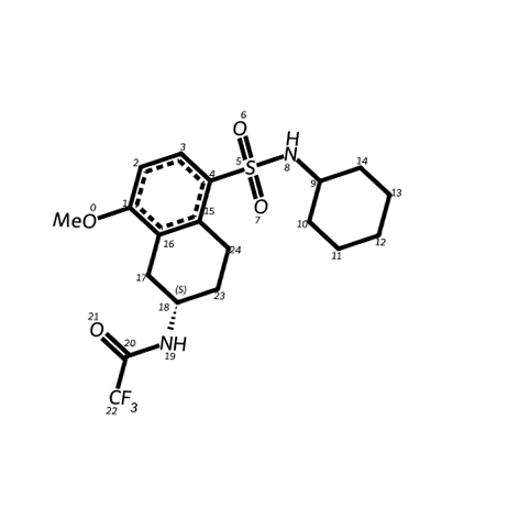 COc1ccc(S(=O)(=O)NC2CCCCC2)c2c1C[C@@H](NC(=O)C(F)(F)F)CC2